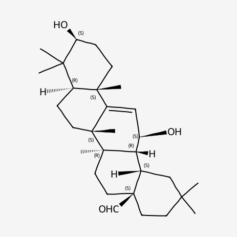 CC1(C)CC[C@]2(C=O)CC[C@]3(C)[C@H]([C@H](O)C=C4[C@@]5(C)CC[C@H](O)C(C)(C)[C@@H]5CC[C@]43C)[C@@H]2C1